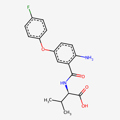 CC(C)[C@@H](NC(=O)c1cc(Oc2ccc(F)cc2)ccc1N)C(=O)O